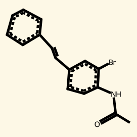 CC(=O)Nc1ccc(C=Cc2ccccc2)cc1Br